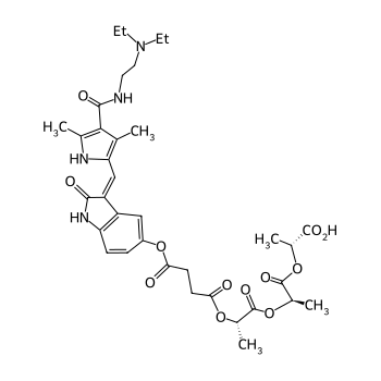 CCN(CC)CCNC(=O)c1c(C)[nH]c(/C=C2\C(=O)Nc3ccc(OC(=O)CCC(=O)O[C@@H](C)C(=O)O[C@H](C)C(=O)O[C@H](C)C(=O)O)cc32)c1C